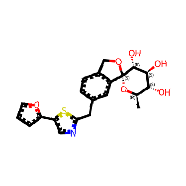 C[C@H]1O[C@]2(OCc3ccc(Cc4ncc(-c5ccco5)s4)cc32)[C@H](O)[C@@H](O)[C@@H]1O